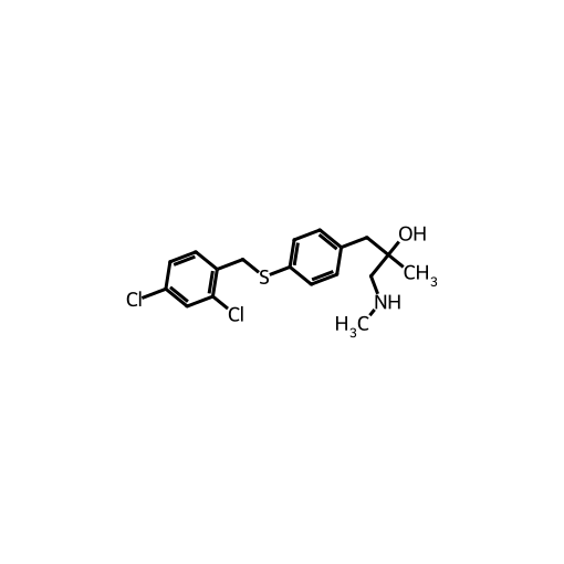 CNCC(C)(O)Cc1ccc(SCc2ccc(Cl)cc2Cl)cc1